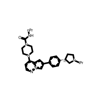 CCCNC(=O)N1CCN(c2ccnn3cc(-c4ccc([C@@H]5CCN(C(C)C)C5)cc4)cc23)CC1